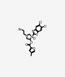 Cc1coc(C(=O)OC2CN(CCBr)C[N+]2([O-])c2nc3cc(Cl)c(Cl)cc3s2)c1